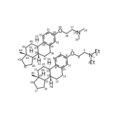 CCN(CC)CCOc1ccc2c(c1)CC[C@@H]1[C@H]3CCC[C@]3(C)CC[C@@H]21.CN(C)CCOc1ccc2c(c1)CC[C@@H]1[C@H]3CCC[C@]3(C)CC[C@@H]21